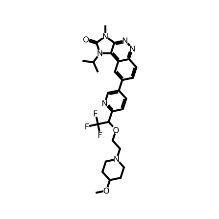 COC1CCN(CCOC(c2ccc(-c3ccc4nnc5c(c4c3)n(C(C)C)c(=O)n5C)cn2)C(F)(F)F)CC1